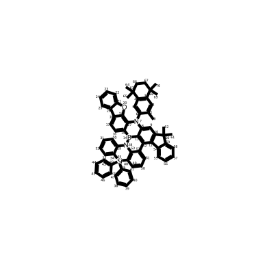 Cc1cc2c(cc1N1c3cc4c(c5c3B(c3ccc6c(oc7ccccc76)c31)N1c3ccccc3[Si](c3ccccc3)(c3ccccc3)c3cccc-5c31)-c1ccccc1C4(C)C)C(C)(C)CCC2(C)C